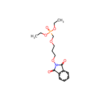 CCOP(=O)(COCCCON1C(=O)c2ccccc2C1=O)OCC